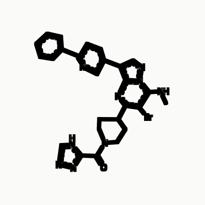 CNc1c(Br)c(C2CCN(C(=O)c3nnc[nH]3)CC2)nc2c(-c3ccc(-c4ccccc4)nc3)cnn12